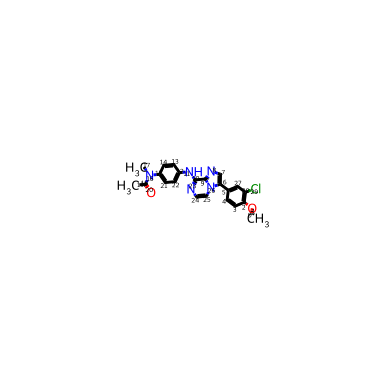 COc1ccc(-c2cnc3c(Nc4ccc(N(C)C(C)=O)cc4)nccn23)cc1Cl